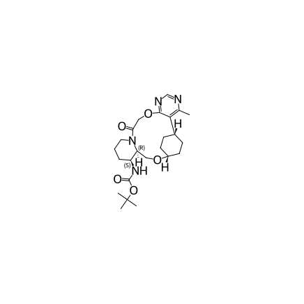 Cc1ncnc2c1[C@H]1CC[C@H](CC1)OC[C@H]1[C@@H](NC(=O)OC(C)(C)C)CCCN1C(=O)CO2